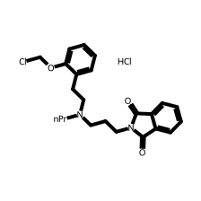 CCCN(CCCN1C(=O)c2ccccc2C1=O)CCc1ccccc1OCCl.Cl